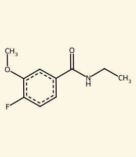 CCNC(=O)c1ccc(F)c(OC)c1